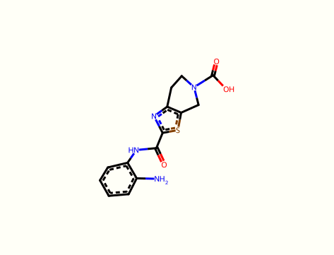 Nc1ccccc1NC(=O)c1nc2c(s1)CN(C(=O)O)CC2